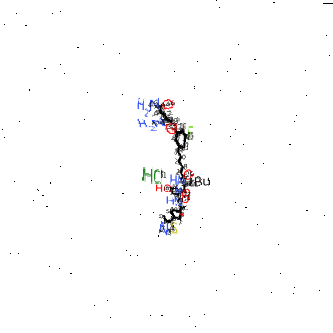 Cc1ncsc1-c1ccc([C@H](C)NC(=O)[C@@H]2C[C@@H](O)CN2C(=O)[C@@H](NC(=O)CCCCCc2cc(F)cc(OC[C@@H](N)CCC(N)=O)c2)C(C)(C)C)cc1.Cl